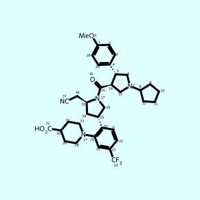 COc1ccc([C@@H]2CN(C3CCCC3)C[C@H]2C(=O)N2C[C@H](c3ccc(C(F)(F)F)cc3N3CCC(C(=O)O)CC3)C[C@H]2CC#N)cc1